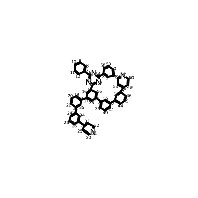 c1ccc(-c2nc(-c3ccccc3)nc(-c3cc(-c4cccc(-c5cccc(-c6ccncc6)c5)c4)cc(-c4cccc(-c5cccc(-c6ccncc6)c5)c4)c3)n2)cc1